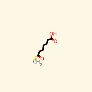 CSC(=O)CCCCCC(=O)O